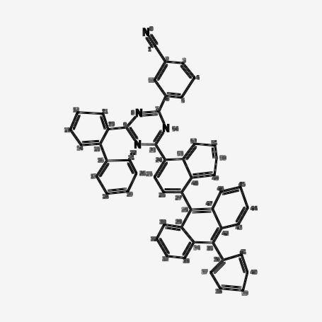 N#Cc1cccc(-c2nc(-c3ccccc3-c3ccccc3)nc(-c3ccc(-c4c5ccccc5c(-c5ccccc5)c5ccccc45)c4ccccc34)n2)c1